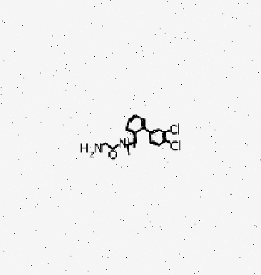 CC(Cc1ccccc1-c1ccc(Cl)c(Cl)c1)NC(=O)CN